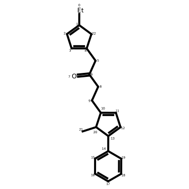 CCC1=CC=C(CC(=O)CCC2=CC=C(c3ccccc3)C2C)C1